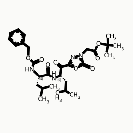 CC(C)C[C@H](NC(=O)OCc1ccccc1)C(=O)N[C@@H](CC(C)C)C(=O)c1nn(CC(=O)OC(C)(C)C)c(=O)o1